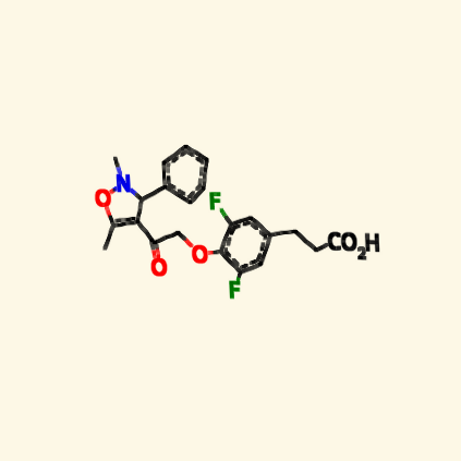 CC1=C(C(=O)COc2c(F)cc(CCC(=O)O)cc2F)C(c2ccccc2)N(C)O1